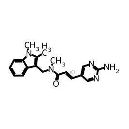 Cc1c(CN(C)C(=O)/C=C/c2cnc(N)nc2)c2ccccc2n1C